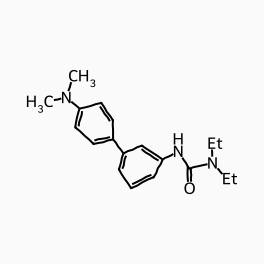 CCN(CC)C(=O)Nc1cccc(-c2ccc(N(C)C)cc2)c1